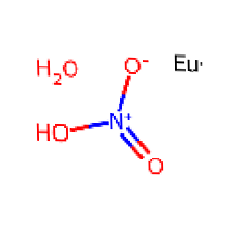 O.O=[N+]([O-])O.[Eu]